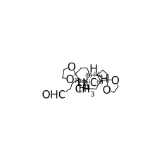 C[C@]12CC[C@H]3[C@@H](CCC4(OCCO4)[C@]3(C)CCC=O)[C@@H]1CCC21OCCO1